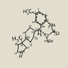 Cc1ccc(NC(=O)OC(C)(C)C)c(NC2CCN(C3(C)CCNC3)CC2)c1